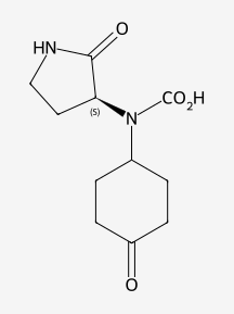 O=C1CCC(N(C(=O)O)[C@H]2CCNC2=O)CC1